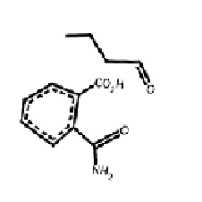 CCCC=O.NC(=O)c1ccccc1C(=O)O